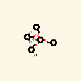 O=C(Pc1c(OCc2ccccc2)cc(OCc2ccccc2)cc1OCc1ccccc1)c1c(Cl)cccc1Cl.[LiH]